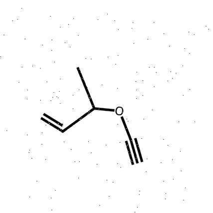 C#COC(C)C=C